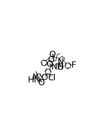 CCC(CC)(C(=O)OCc1ccccc1)[C@H]1CC[C@@H](c2cccc(F)c2)N1C(=O)CNC(=O)c1ccc(Oc2cc(C)n[nH]c2=O)c(Cl)c1